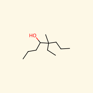 CCCC(O)C(C)(CC)CCC